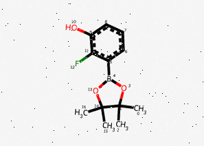 CC1(C)OB(c2cccc(O)c2F)OC1(C)C